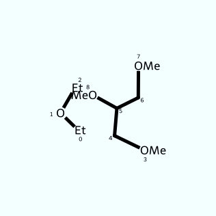 CCOCC.COCC(COC)OC